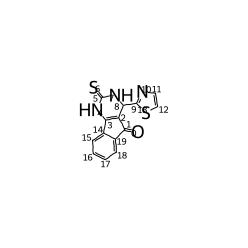 O=C1C2=C(NC(=S)NC2c2nccs2)c2ccccc21